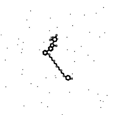 O=C1CCC(N2Cc3cc(-c4ccccc4OCCCOCCOCCOCCOC4CCNCC4)ccc3C2=O)C(=O)N1